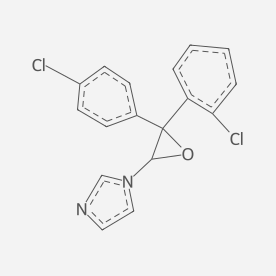 Clc1ccc(C2(c3ccccc3Cl)OC2n2ccnc2)cc1